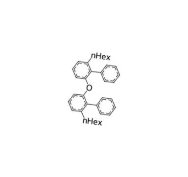 CCCCCCc1cccc(Oc2cccc(CCCCCC)c2-c2ccccc2)c1-c1ccccc1